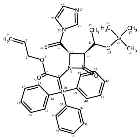 C=CCOC(=O)C(N1C(=O)[C@H](C(C)O[Si](C)(C)C)[C@@H]1C(=S)n1ccnc1)=P(c1ccccc1)(c1ccccc1)c1ccccc1